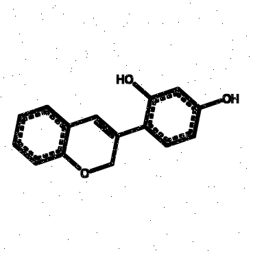 Oc1ccc(C2=Cc3ccccc3OC2)c(O)c1